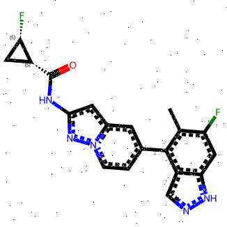 Cc1c(F)cc2[nH]ncc2c1-c1ccn2nc(NC(=O)[C@@H]3C[C@@H]3F)cc2c1